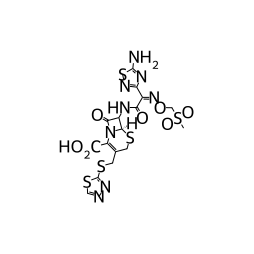 CS(=O)(=O)CO/N=C(\C(=O)NC1C(=O)N2C(C(=O)O)=C(CSc3nncs3)CS[C@H]12)c1nsc(N)n1